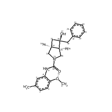 COc1ccc(C)cc1NC(=O)N1C[C@H]2C[C@](O)(Cc3ccccc3)[C@H]2C1